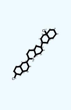 ClC1CCC2CC(C3CCC4CC(C5CCC6(Cl)CCCCC6C5)CCC4S3)CCC2C1